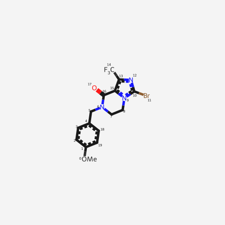 COc1ccc(CN2CCn3c(Br)nc(C(F)(F)F)c3C2=O)cc1